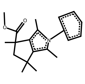 COC(=O)C1(C)CC(C)(C)c2c1c(C)n(-c1ccccc1)c2C